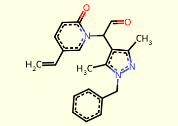 C=Cc1ccc(=O)n(C(C=O)c2c(C)nn(Cc3ccccc3)c2C)c1